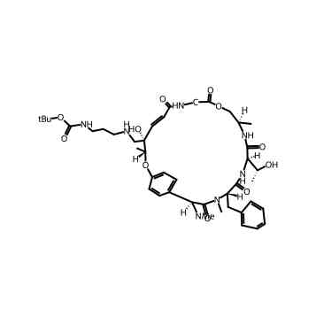 CN[C@@H]1C(=O)N(C)[C@@H](Cc2ccccc2)C(=O)N[C@H]([C@@H](C)O)C(=O)N[C@H](C)COC(=O)CNC(=O)/C=C/[C@](O)(CNCCCNC(=O)OC(C)(C)C)[C@@H](C)Oc2ccc1cc2